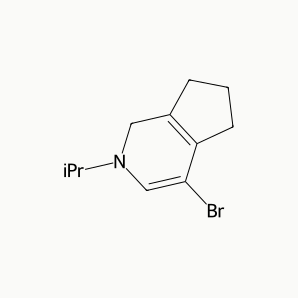 CC(C)N1C=C(Br)C2=C(CCC2)C1